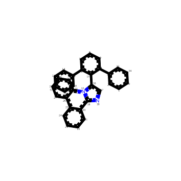 c1ccc(-c2cccc(-c3ccccc3)c2-c2cnc3c4ccccc4c4ccccc4n23)cc1